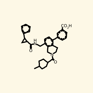 CC1CCC(C(=O)N2CCc3c(-c4cccc(C(=O)O)c4)ccc(CNC(=O)C4CC4c4ccccc4)c3C2)CC1